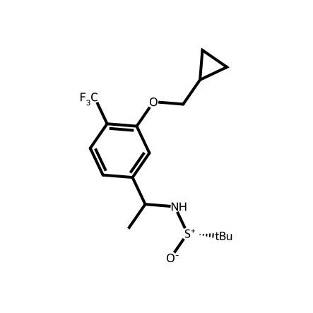 CC(N[S@@+]([O-])C(C)(C)C)c1ccc(C(F)(F)F)c(OCC2CC2)c1